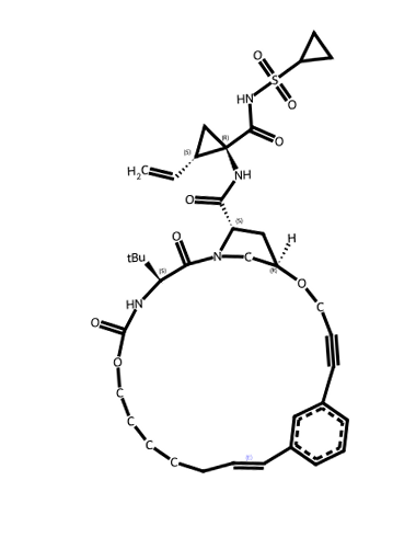 C=C[C@@H]1C[C@]1(NC(=O)[C@@H]1C[C@@H]2CN1C(=O)[C@H](C(C)(C)C)NC(=O)OCCCCC/C=C/c1cccc(c1)C#CCO2)C(=O)NS(=O)(=O)C1CC1